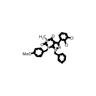 COc1ccc(Cn2c(=O)n(C)c(=O)c3c(-c4cccc(Cl)c4Cl)nn(Cc4ccccc4)c32)cc1